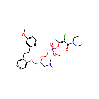 CCN(CC)C(=O)/C(Cl)=C(/C)OP(=O)(OC)OCO[C@@H](COc1ccccc1CCc1cccc(OC)c1)CN(C)C